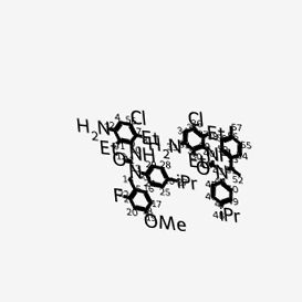 CCc1c(N)cc(Cl)c(CC)c1NC(=O)N(Cc1ccc(OC)cc1F)c1ccc(C(C)C)cc1.CCc1c(N)cc(Cl)c(CC)c1NC(=O)N(c1ccc(C(C)C)cc1)C(C)c1ccc(C)cc1